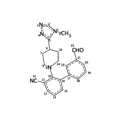 Cn1cnnc1C1CCN(c2c(C#N)cccc2-c2cccc(C=O)c2)CC1